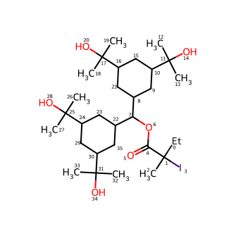 CCC(C)(I)C(=O)OC(C1CC(C(C)(C)O)CC(C(C)(C)O)C1)C1CC(C(C)(C)O)CC(C(C)(C)O)C1